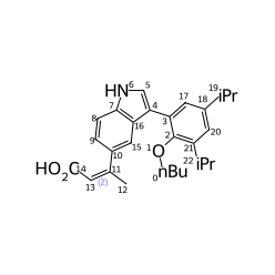 CCCCOc1c(-c2c[nH]c3ccc(/C(C)=C\C(=O)O)cc23)cc(C(C)C)cc1C(C)C